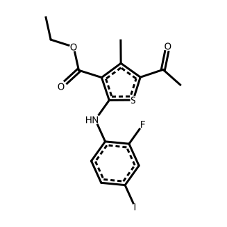 CCOC(=O)c1c(Nc2ccc(I)cc2F)sc(C(C)=O)c1C